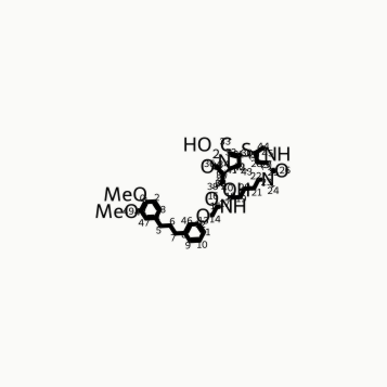 COc1ccc(CCCc2cccc(OCC(=O)NCCCCCN(C)C(=O)[C@@H]3C[C@H](SC4=C(C(=O)O)N5C(=O)[C@H]([C@@H](C)O)C5[C@H]4C)CN3)c2)cc1OC